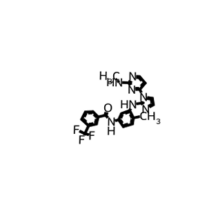 CNc1nccc(-n2ccnc2Nc2cc(NC(=O)c3cccc(C(F)(F)F)c3)ccc2C)n1